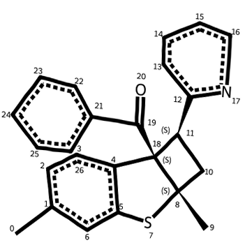 Cc1ccc2c(c1)S[C@@]1(C)C[C@H](c3ccccn3)[C@@]21C(=O)c1ccccc1